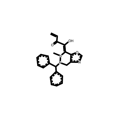 C=CC(=O)/C(O)=C1/c2ocnc2CN(C(c2ccccc2)c2ccccc2)N1C